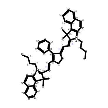 CCCCN1/C(=C/C=C2\CCC(/C=C/C3=[N+](CCCC)c4ccc5ccccc5c4C3(C)C)=C2c2ccccc2)C(C)(C)c2c1ccc1ccccc21